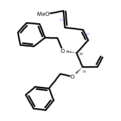 C=C[C@H](OCc1ccccc1)[C@@H](/C=C\C=C\OC)OCc1ccccc1